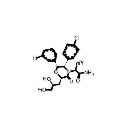 CCCC(C(N)=O)N1C(=O)[C@@H](C[C@H](O)CO)O[C@H](c2cccc(Cl)c2)[C@@H]1c1ccc(Cl)cc1